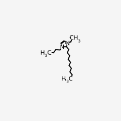 CCCCCCCCCCC1N(CC)C=CN1CCCC